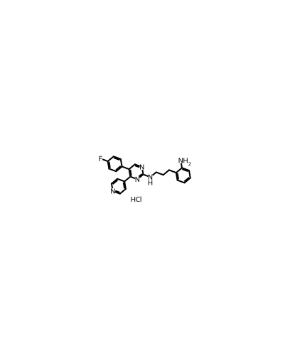 Cl.Nc1ccccc1CCCNc1ncc(-c2ccc(F)cc2)c(-c2ccncc2)n1